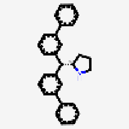 c1ccc(-c2cccc(C(c3cccc(-c4ccccc4)c3)[C@@H]3CCCN3)c2)cc1